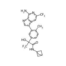 Cc1ccc(C(O)(C(=O)NC23CC(C2)C3)C(F)(F)F)cc1-c1cnc2c(N)nc(C(F)(F)F)cn12